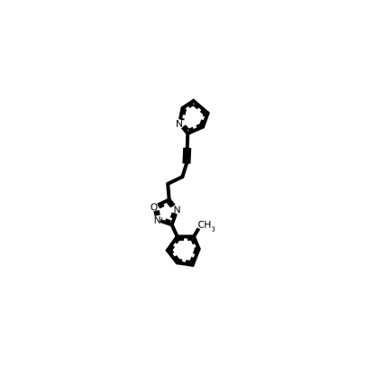 Cc1ccccc1-c1noc(CCC#Cc2ccccn2)n1